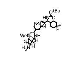 [2H]C([2H])(N)C(F)(F)C([2H])([2H])N[C@H](COC)c1cnn2cc([C@@H](NC(=O)OC(C)(C)C)C3CCC(F)(F)CC3)nc2c1